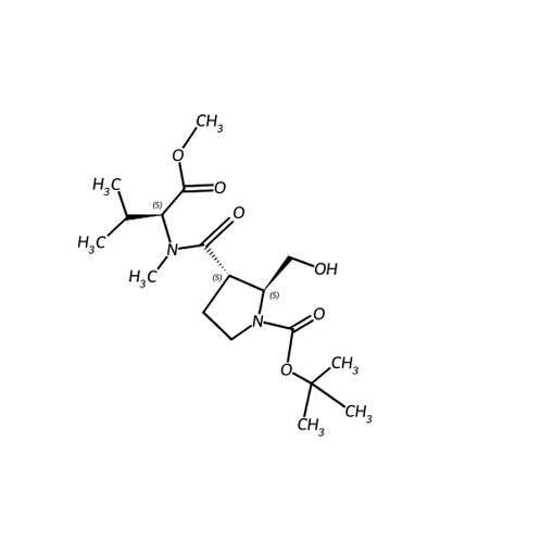 COC(=O)[C@H](C(C)C)N(C)C(=O)[C@H]1CCN(C(=O)OC(C)(C)C)[C@@H]1CO